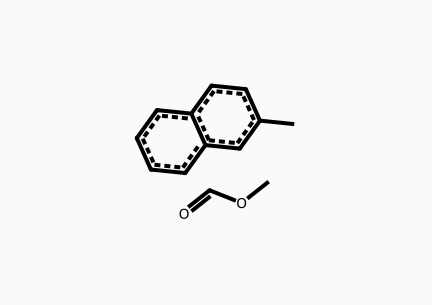 COC=O.Cc1ccc2ccccc2c1